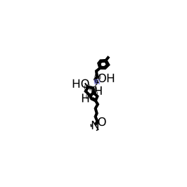 Cc1ccc(C[C@H](O)/C=C/[C@@H]2[C@H]3CC(CCCCC(=O)N(C)C)=C[C@H]3C[C@H]2O)cc1